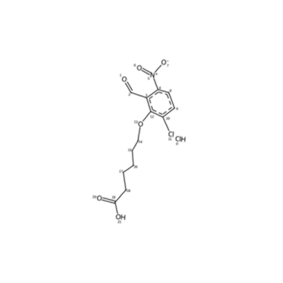 Cl.O=Cc1c([N+](=O)[O-])ccc(Cl)c1OCCCCCC(=O)O